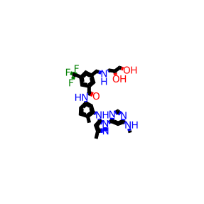 CNc1cc(-n2nc(C)cc2Nc2cc(NC(=O)c3cc(CNCC(O)CO)cc(C(F)(F)F)c3)ccc2C)ncn1